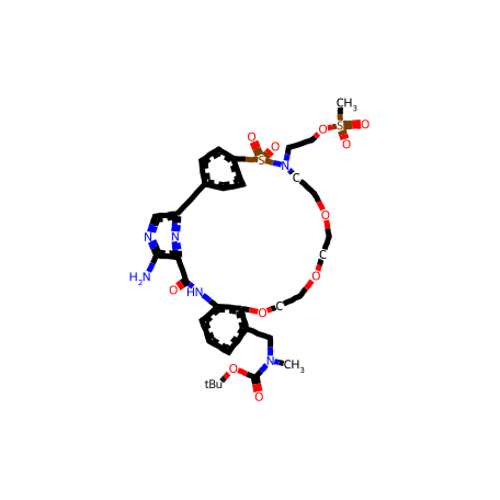 CN(Cc1cccc2c1OCCOCCOCCN(CCOS(C)(=O)=O)S(=O)(=O)c1ccc(cc1)-c1cnc(N)c(n1)C(=O)N2)C(=O)OC(C)(C)C